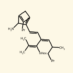 CCCCCCC(=C(C)C)C(=C\C(C)CC(C)C)/C=C/C1=C2CC(=C2C(C)C)C1N